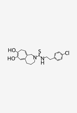 OC1=C(O)CC=C2CN(C(=S)NCCc3ccc(Cl)cc3)CCCC2=C1